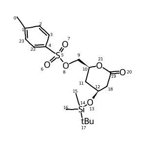 Cc1ccc(S(=O)(=O)OC[C@@H]2C[C@H](O[Si](C)(C)C(C)(C)C)CC(=O)O2)cc1